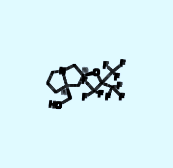 OC[C@@]12CCCN1C[C@@H](OC(C(F)(F)F)(C(F)(F)F)C(F)(F)F)C2